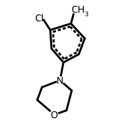 Cc1ccc(N2CCOCC2)cc1Cl